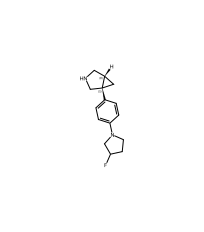 FC1CCN(c2ccc([C@@]34CNC[C@@H]3C4)cc2)C1